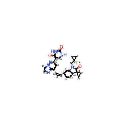 O=C1N(CC2(F)CC2)c2cc([C@H]3C[C@@H]3c3cc(-c4c[nH]c(=O)[nH]c4=O)nn4ccnc34)ccc2C12CC2